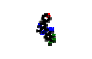 Cc1nnc(N[C@H](C)c2cccc(C(F)F)c2F)c2cc(C3CCCOCC3)cnc12